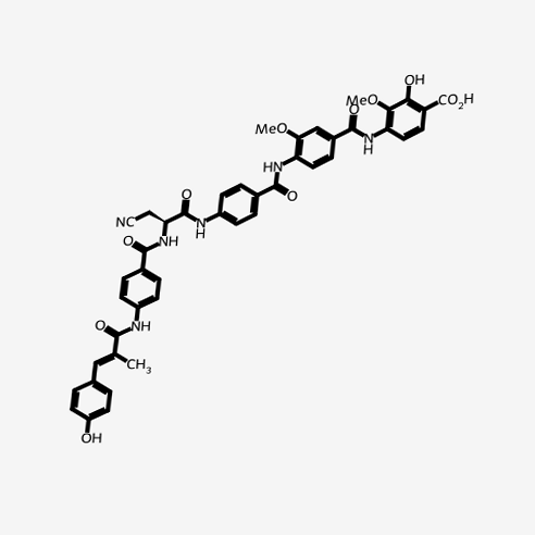 COc1cc(C(=O)Nc2ccc(C(=O)O)c(O)c2OC)ccc1NC(=O)c1ccc(NC(=O)[C@H](CC#N)NC(=O)c2ccc(NC(=O)/C(C)=C/c3ccc(O)cc3)cc2)cc1